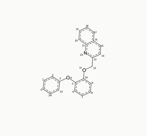 c1ccc(Oc2ccccc2OCc2ccc3ccccc3n2)cc1